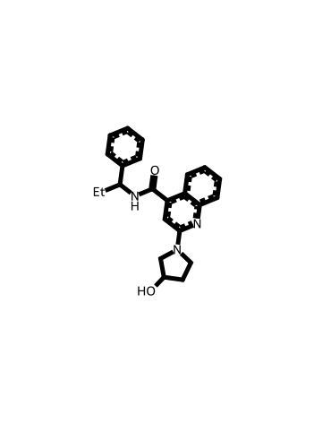 CCC(NC(=O)c1cc(N2CCC(O)C2)nc2ccccc12)c1ccccc1